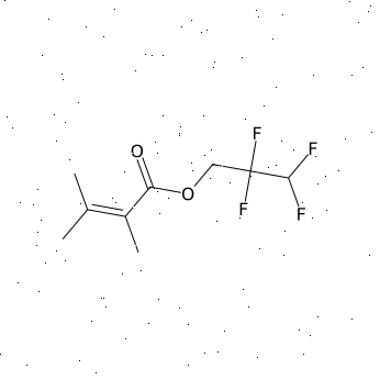 CC(C)=C(C)C(=O)OCC(F)(F)C(F)F